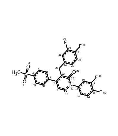 CS(=O)(=O)c1ccc(-c2cnn(-c3ccc(F)c(F)c3)c(=O)c2Cc2ccc(F)c(F)c2)cc1